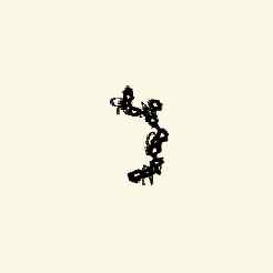 Cn1c2ccc(-c3ccc4oc5c(-c6ccc7c(c6)n6c8ccccc8nc6n7-c6ccc7nc8oc9ccccc9n8c7c6)cccc5c4c3)cc2n2c3ccccc3nc12